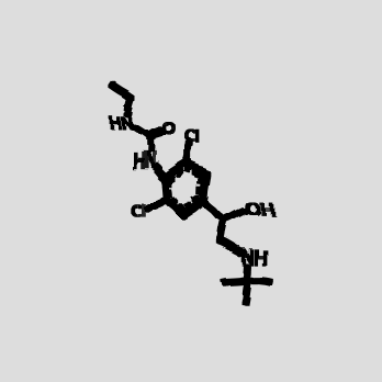 CCNC(=O)Nc1c(Cl)cc(C(O)CNC(C)(C)C)cc1Cl